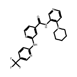 O=C(Nc1cnccc1N1CCCCC1)c1ccnc(Nc2ccc(C(F)(F)F)cn2)c1